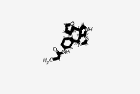 C=CC(=O)N[C@H]1CCC=C(c2ncnc3[nH]cc(-c4ccco4)c23)C1